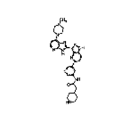 CN1CCN(c2ccnc3[nH]c(-c4n[nH]c5ccc(-c6cncc(NC(=O)CC7CCNCC7)c6)nc45)nc23)CC1